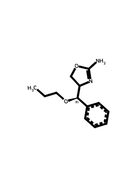 CCCO[C@H](c1ccccc1)C1COC(N)=N1